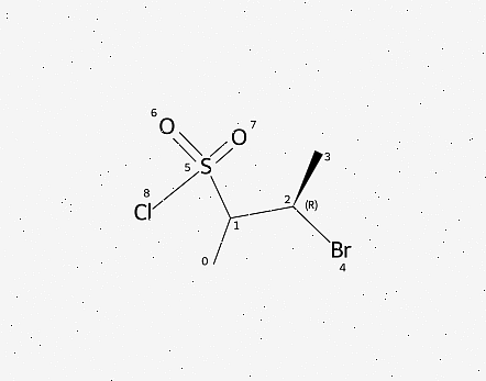 CC([C@@H](C)Br)S(=O)(=O)Cl